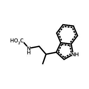 CC(CNC(=O)O)c1c[nH]c2ccccc12